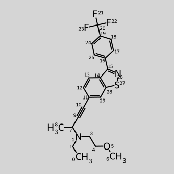 CCN(CCOC)C(C)C#Cc1ccc2c(-c3ccc(C(F)(F)F)cc3)nsc2c1